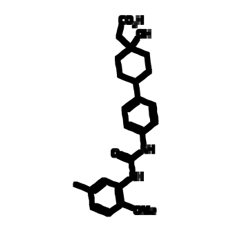 COc1ccc(C)cc1NC(=O)Nc1ccc(C2CCC(O)(CC(=O)O)CC2)cc1